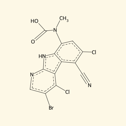 CN(C(=O)O)c1cc(Cl)c(C#N)c2c1[nH]c1ncc(Br)c(Cl)c12